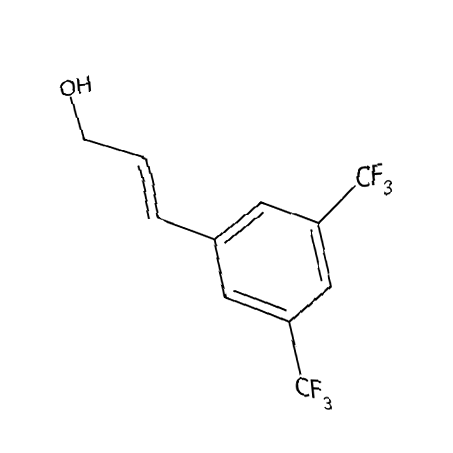 OCC=Cc1cc(C(F)(F)F)cc(C(F)(F)F)c1